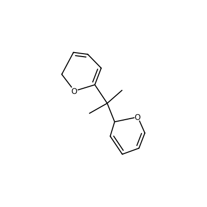 CC(C)(C1=CC=CCO1)C1C=CC=CO1